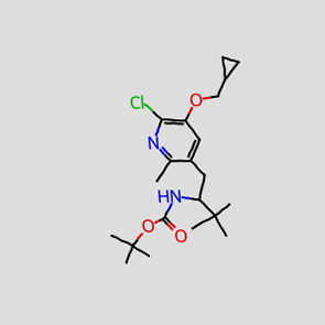 Cc1nc(Cl)c(OCC2CC2)cc1CC(NC(=O)OC(C)(C)C)C(C)(C)C